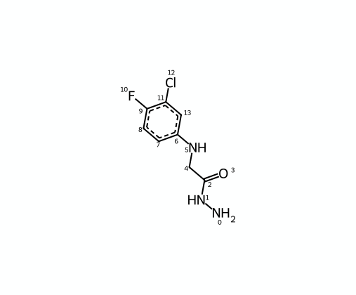 NNC(=O)CNc1ccc(F)c(Cl)c1